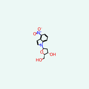 O=[N+]([O-])c1cccc2c1ccn2[C@H]1C[C@H](O)[C@@H](CO)O1